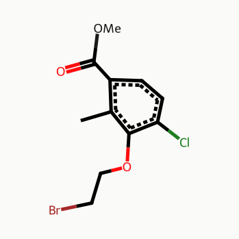 COC(=O)c1ccc(Cl)c(OCCBr)c1C